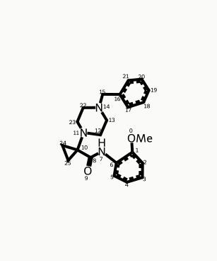 COc1ccccc1NC(=O)C1(N2CCN(Cc3ccccc3)CC2)CC1